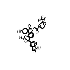 Cc1c(C(=O)c2cnc3[nH]ncc3c2)ccc2c1C1(CCNCC1)C(=O)N2CC(=O)N1CCO[C@@H](C(F)(F)F)C1